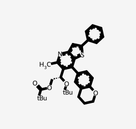 Cc1nc2cc(-c3ccccc3)sc2c(-c2ccc3c(c2)CCCO3)c1[C@@H](COC(=O)C(C)(C)C)OC(C)(C)C